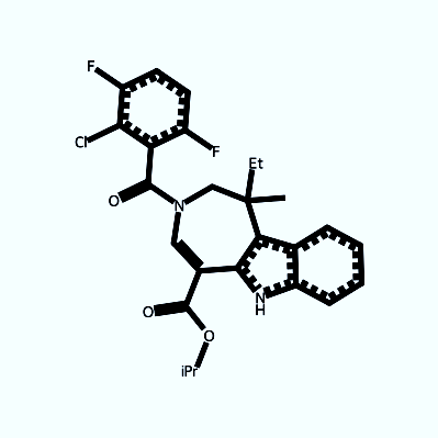 CCC1(C)CN(C(=O)c2c(F)ccc(F)c2Cl)C=C(C(=O)OC(C)C)c2[nH]c3ccccc3c21